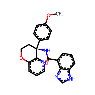 O=C(N[C@]1(c2ccc(OC(F)(F)F)cc2)CCOc2cccnc21)c1cccc2[nH]cnc12